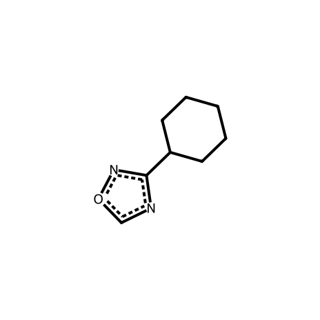 c1nc(C2CCCCC2)no1